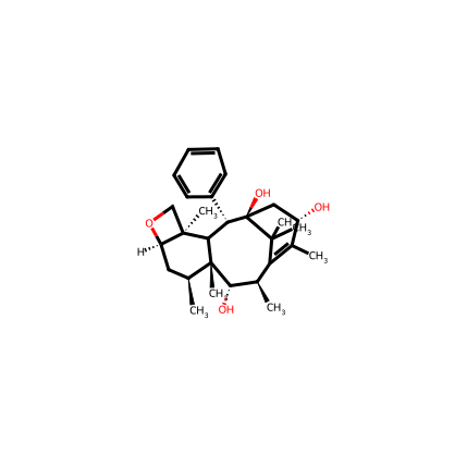 CC1=C2[C@@H](C)[C@H](O)[C@@]3(C)C([C@H](c4ccccc4)[C@](O)(C[C@@H]1O)C2(C)C)[C@]1(C)CO[C@@H]1C[C@@H]3C